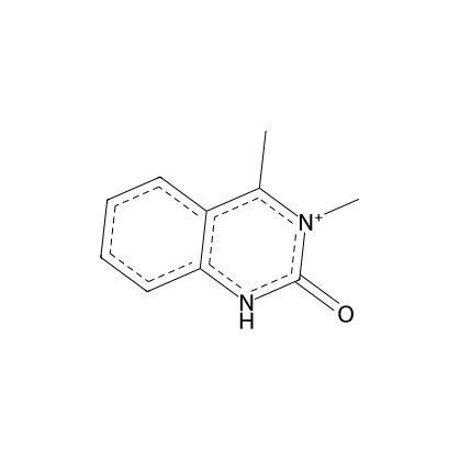 Cc1c2ccccc2[nH]c(=O)[n+]1C